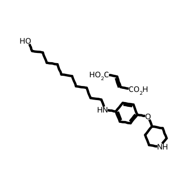 O=C(O)/C=C/C(=O)O.OCCCCCCCCCCNc1ccc(OC2CCNCC2)cc1